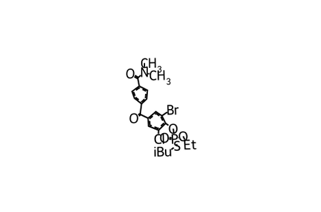 CCOP(=O)(Oc1c(Cl)cc(C(=O)c2ccc(C(=O)N(C)C)cc2)cc1Br)SC(C)CC